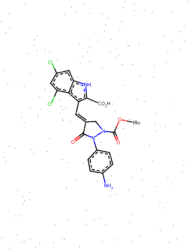 CC(C)(C)OC(=O)N1CC(=Cc2c(C(=O)O)[nH]c3cc(Cl)cc(Cl)c23)C(=O)N1c1ccc(N)cc1